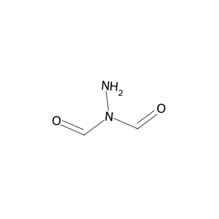 NN(C=O)C=O